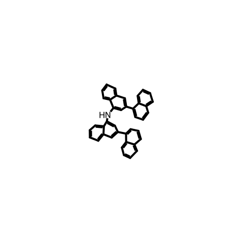 c1ccc2c(Nc3cc(-c4cccc5ccccc45)cc4ccccc34)cc(-c3cccc4ccccc34)cc2c1